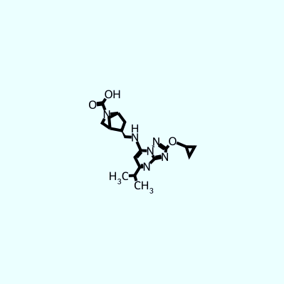 CC(C)c1cc(NC[C@@H]2CC3CC2CN3C(=O)O)n2nc(OC3CC3)nc2n1